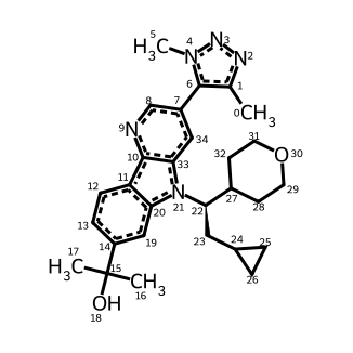 Cc1nnn(C)c1-c1cnc2c3ccc(C(C)(C)O)cc3n([C@H](CC3CC3)C3CCOCC3)c2c1